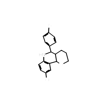 CC(=O)c1ccc(C2Nc3ccc(C(F)(F)F)cc3C3OCCCC23)cc1